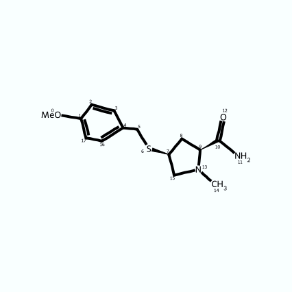 COc1ccc(CS[C@H]2C[C@@H](C(N)=O)N(C)C2)cc1